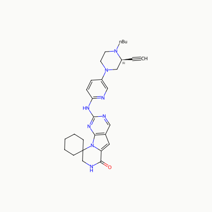 C#C[C@H]1CN(c2ccc(Nc3ncc4cc5n(c4n3)C3(CCCCC3)CNC5=O)nc2)CCN1CCCC